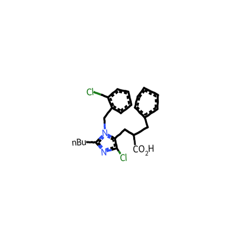 CCCCc1nc(Cl)c(CC(Cc2ccccc2)C(=O)O)n1Cc1ccccc1Cl